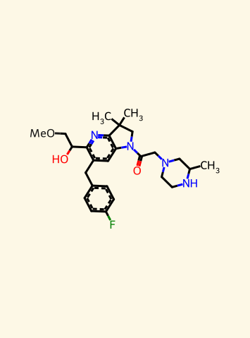 COCC(O)c1nc2c(cc1Cc1ccc(F)cc1)N(C(=O)CN1CCNC(C)C1)CC2(C)C